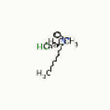 CCCCCCCCCCCC[N+](C)(C)Cc1ccccc1.Cl.[Ca+2]